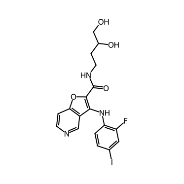 O=C(NCCC(O)CO)c1oc2ccncc2c1Nc1ccc(I)cc1F